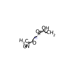 C=C[C@@H](O)[C@@H]1O[C@H]1/C=C/C1OC1[C@@H](C)N=O